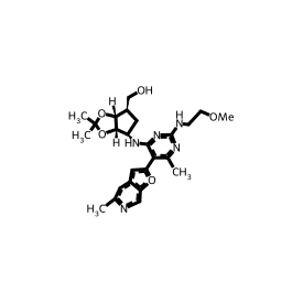 COCCNc1nc(C)c(-c2cc3cc(C)ncc3o2)c(N[C@@H]2C[C@H](CO)[C@H]3OC(C)(C)O[C@H]32)n1